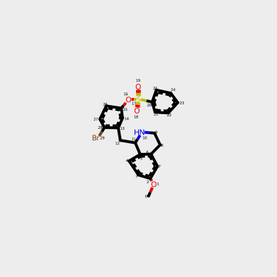 COc1ccc2c(c1)CCNC2Cc1cc(OS(=O)(=O)c2ccccc2)ccc1Br